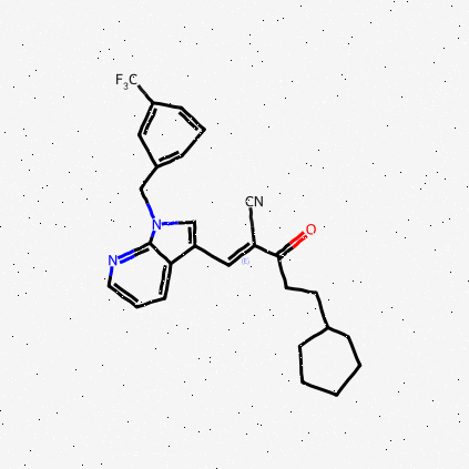 N#C/C(=C\c1cn(Cc2cccc(C(F)(F)F)c2)c2ncccc12)C(=O)CCC1CCCCC1